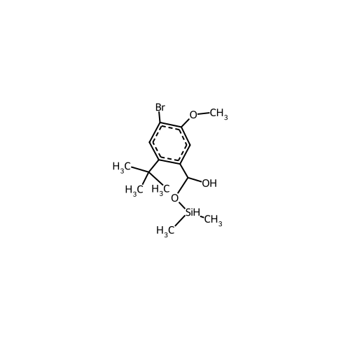 COc1cc(C(O)O[SiH](C)C)c(C(C)(C)C)cc1Br